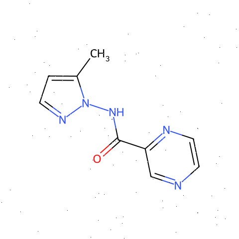 Cc1ccnn1NC(=O)c1cnccn1